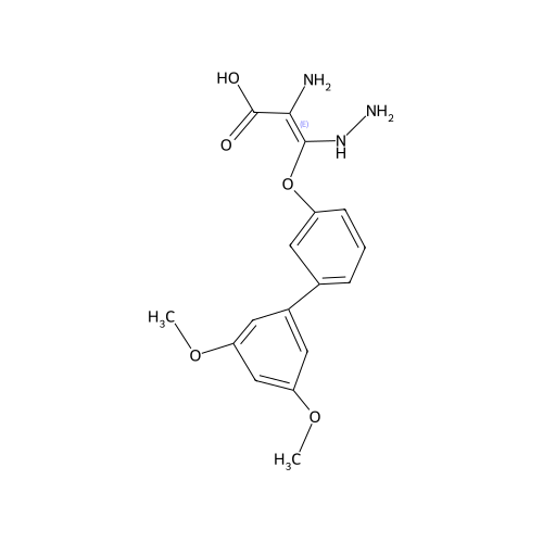 COc1cc(OC)cc(-c2cccc(O/C(NN)=C(/N)C(=O)O)c2)c1